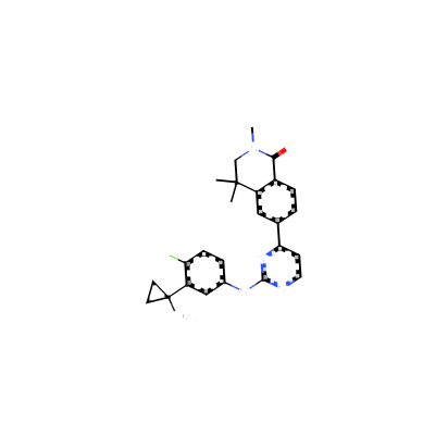 CSC1(c2cc(Nc3nccc(-c4ccc5c(c4)C(C)(C)CN(C)C5=O)n3)ccc2F)CC1